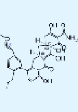 CCCc1ccc(/C=N/OC)cc1-c1ccc(O)c2c1C[C@H]1C[C@H]3CC(O)=C(C(N)=O)C(=O)[C@@]3(O)C(O)=C1C2=O